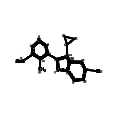 COc1cncc(-c2nc3ccc(Cl)cc3n2C2CC2)c1C